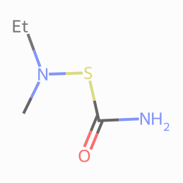 CCN(C)SC(N)=O